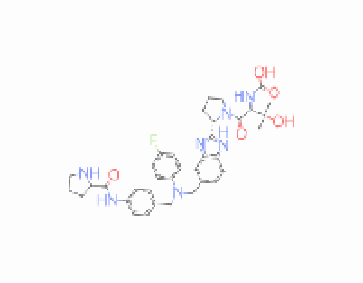 CC(C)(O)[C@H](NC(=O)O)C(=O)N1CCC[C@H]1c1nc2cc(CN(Cc3ccc(NC(=O)[C@H]4CCCN4)cc3)c3ccc(F)cc3)ccc2[nH]1